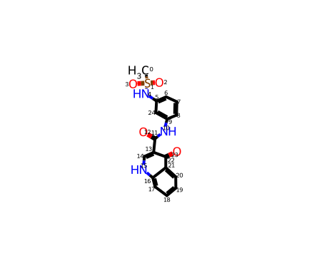 CS(=O)(=O)Nc1cccc(NC(=O)c2c[nH]c3ccccc3c2=O)c1